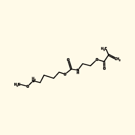 C=C(C)C(=O)OCCNC(=O)OCCCC[SiH2]O[SiH3]